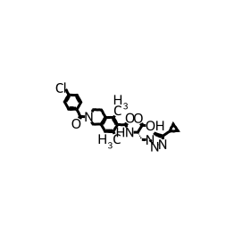 Cc1cc2c(c(C)c1C(=O)N[C@@H](Cn1cc(C3CC3)nn1)C(=O)O)CCN(C(=O)c1ccc(Cl)cc1)C2